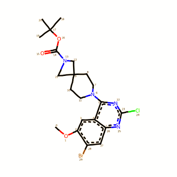 COc1cc2c(N3CCC4(CC3)CN(C(=O)OC(C)(C)C)C4)nc(Cl)nc2cc1Br